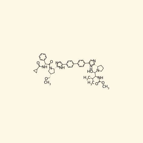 COC[C@H]1C[C@@H](c2ncc(-c3ccc(-c4ccc(-c5cnc([C@@H]6CCCN6C(O)[C@@H](NC(=O)OC)C(C)C)[nH]5)cc4)cc3)[nH]2)N(C(=O)[C@H](NC(=O)C2CC2)c2ccccc2)C1